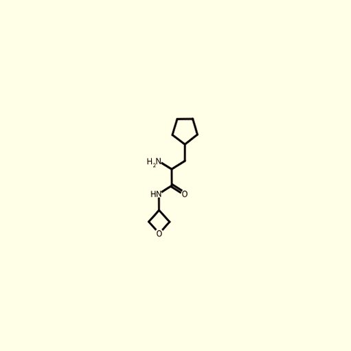 NC(CC1CCCC1)C(=O)NC1COC1